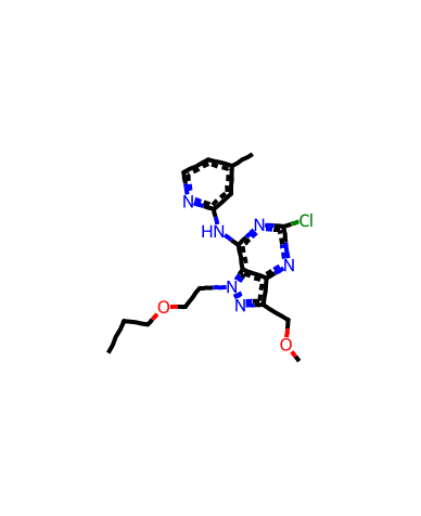 CCCOCCn1nc(COC)c2nc(Cl)nc(Nc3cc(C)ccn3)c21